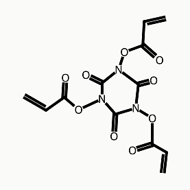 C=CC(=O)On1c(=O)n(OC(=O)C=C)c(=O)n(OC(=O)C=C)c1=O